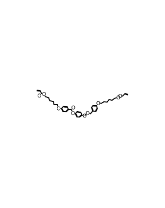 C=CCOOCCCCCCOc1ccc(COOc2ccc(OC(=O)c3ccc(OCCCCCCOC(=O)C=C)cc3)cc2)cc1